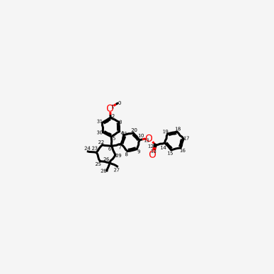 COc1ccc(C2(c3ccc(OC(=O)c4ccccc4)cc3)CC(C)CC(C)(C)C2)cc1